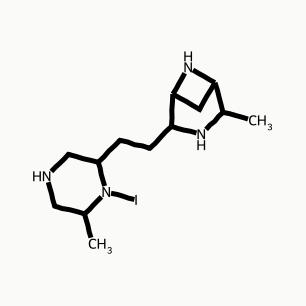 CC1NC(CCC2CNCC(C)N2I)C2CC1N2